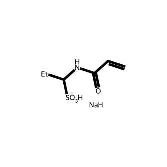 C=CC(=O)NC(CC)S(=O)(=O)O.[NaH]